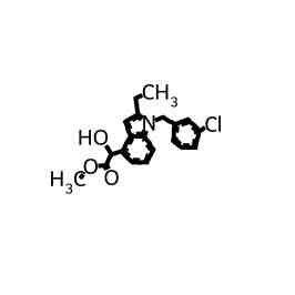 CCc1cc2c(C(O)C(=O)OC)cccc2n1Cc1cccc(Cl)c1